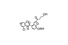 COc1ccc(C(=O)Nc2c(Cl)cncc2Cl)c2cc(C(=O)CCCO)oc12